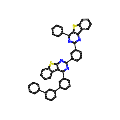 c1ccc(-c2cccc(-c3cccc(-c4nc(-c5cccc(-c6nc(-c7ccccc7)c7sc8ccccc8c7n6)c5)nc5sc6ccccc6c45)c3)c2)cc1